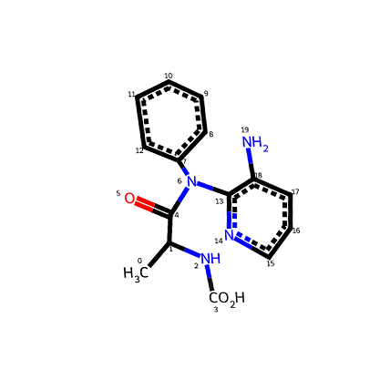 CC(NC(=O)O)C(=O)N(c1ccccc1)c1ncccc1N